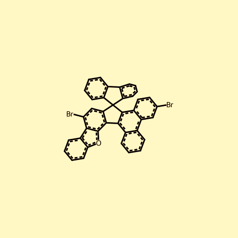 Brc1ccc2c3c(c4ccccc4c2c1)-c1c(cc(Br)c2c1oc1ccccc12)C31c2ccccc2-c2ccccc21